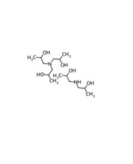 CC(O)CN(CC(C)O)CC(C)O.CC(O)CNCC(C)O